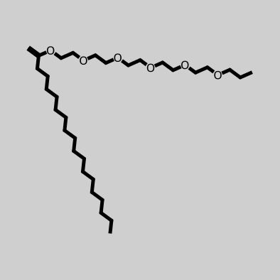 C=C(CCCCCCCCCCCCCCCCC)OCCOCCOCCOCCOCCOCCC